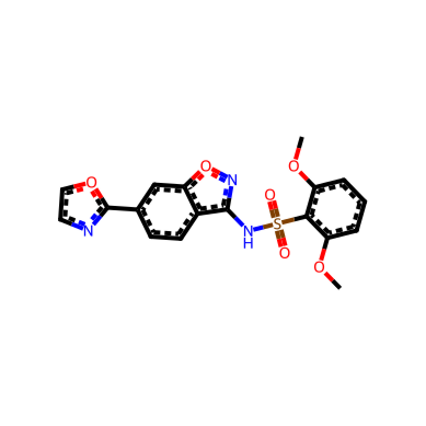 COc1cccc(OC)c1S(=O)(=O)Nc1noc2cc(-c3ncco3)ccc12